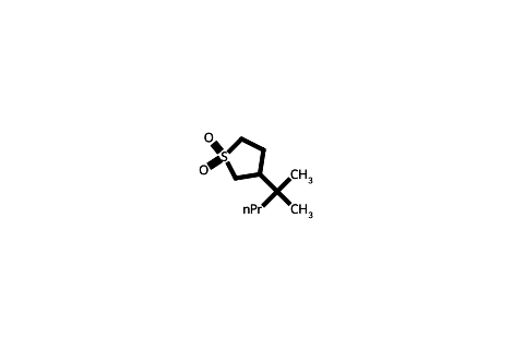 CCCC(C)(C)C1CCS(=O)(=O)C1